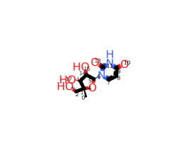 C[C@]1(CO)O[C@@H](n2ccc(=O)[nH]c2=O)C(O)[C@H]1O